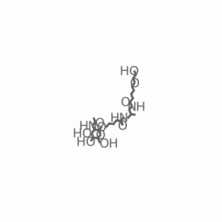 CC(=O)NC1C(OCCCCC(=O)NCC(C)CNC(=O)CCCCOCCO)OC(CO)C(O)C1O